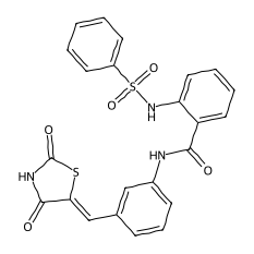 O=C1NC(=O)C(=Cc2cccc(NC(=O)c3ccccc3NS(=O)(=O)c3ccccc3)c2)S1